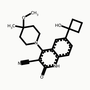 COC1(C)CCN(c2c(C#N)c(=O)[nH]c3ccc(C4(O)CCC4)cc23)CC1